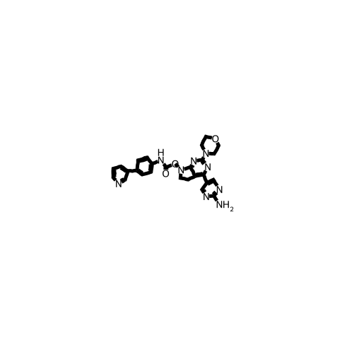 Nc1ncc(-c2nc(N3CCOCC3)nc3c2CCN3OC(=O)Nc2ccc(-c3cccnc3)cc2)cn1